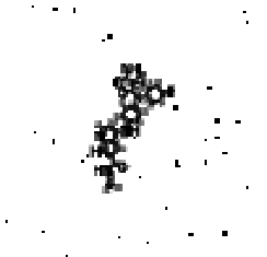 NC(=O)C1(C(=O)N(c2ccc(F)cc2)c2ccc(Nc3ccnc4[nH]c(C(=O)NC5CC5)cc34)cc2)CC1